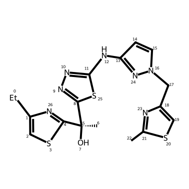 CCc1csc([C@](C)(O)c2nnc(Nc3ccn(Cc4csc(C)n4)n3)s2)n1